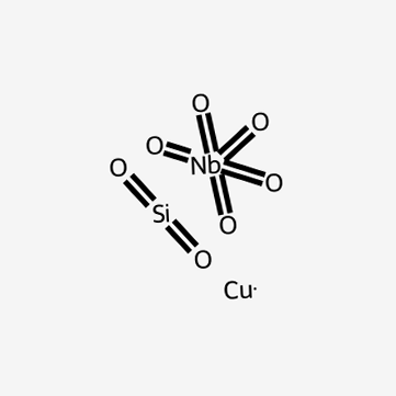 O=[Si]=O.[Cu].[O]=[Nb](=[O])(=[O])(=[O])=[O]